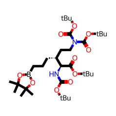 CC(C)(C)OC(=O)N[C@H](C(=O)OC(C)(C)C)[C@H](CCCB1OC(C)(C)C(C)(C)O1)CCN(C(=O)OC(C)(C)C)C(=O)OC(C)(C)C